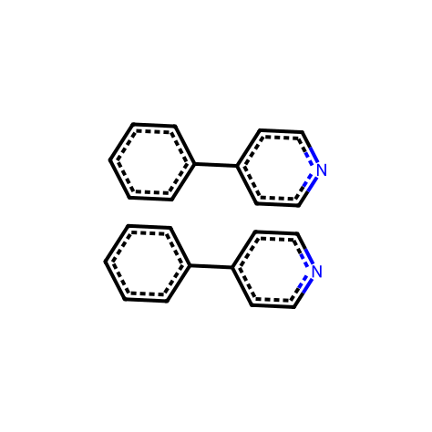 c1ccc(-c2ccncc2)cc1.c1ccc(-c2ccncc2)cc1